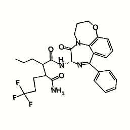 CCCC(C(=O)N[C@H]1N=C(c2ccccc2)c2cccc3c2N(CCCO3)C1=O)C(CCC(F)(F)F)C(N)=O